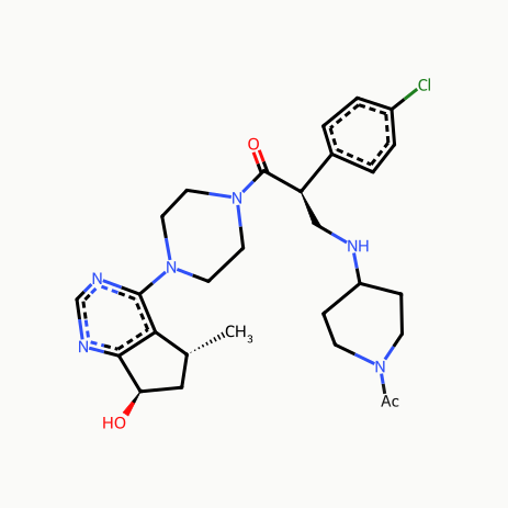 CC(=O)N1CCC(NC[C@@H](C(=O)N2CCN(c3ncnc4c3[C@H](C)C[C@H]4O)CC2)c2ccc(Cl)cc2)CC1